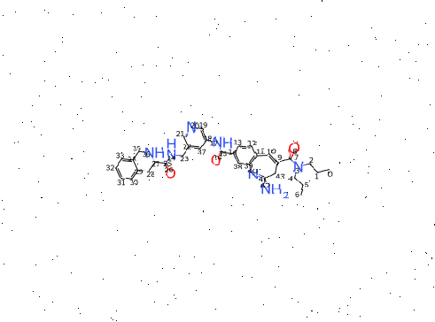 CCCN(CCC)C(=O)C1=Cc2ccc(C(=O)Nc3cncc(CNC(=O)C4Cc5ccccc5CN4)c3)cc2N=C(N)C1